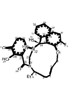 CC[C@@H]1C/C=C/COc2c(F)cccc2[C@@](S)(c2ccccc2)N2CN1C(=O)c1c(O)c(=O)ccn12